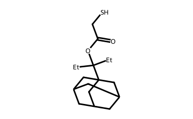 CCC(CC)(OC(=O)CS)C12CC3CC(CC(C3)C1)C2